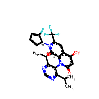 CC(C)c1ncnc(C(C)C)c1-n1c(=O)cc(O)c2cc(C(F)(F)F)n([C@H]3C=CC=C3F)c(=O)c21